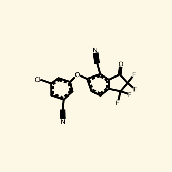 N#Cc1cc(Cl)cc(Oc2ccc3c(c2C#N)C(=O)C(F)(F)C3(F)F)c1